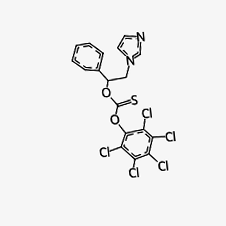 S=C(Oc1c(Cl)c(Cl)c(Cl)c(Cl)c1Cl)OC(Cn1ccnc1)c1ccccc1